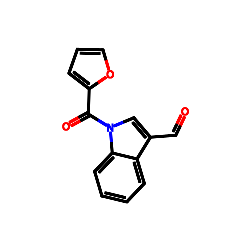 O=Cc1cn(C(=O)c2ccco2)c2ccccc12